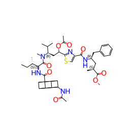 CC[C@H](C)[C@H](NC(=O)C12C3C4C1C1C2C3C41NC(C)=O)C(=O)N(C)[C@H](CC(OC(C)=O)c1nc(C(=O)N[C@@H](Cc2ccccc2)C[C@H](C)C(=O)OC)cs1)C(C)C